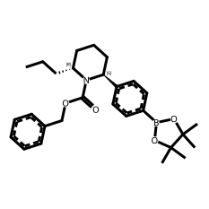 CCC[C@@H]1CCC[C@@H](c2ccc(B3OC(C)(C)C(C)(C)O3)cc2)N1C(=O)OCc1ccccc1